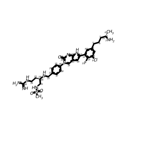 C[C@H](N)CCCc1cc(Cl)c(F)c(-c2cc3cn(-c4ccc(CN[C@H](CCNC(=N)N)CNS(C)(=O)=O)cc4)c(=O)nc3[nH]2)c1